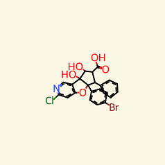 O=C(O)C1C(O)C2(O)c3cnc(Cl)cc3OC2(c2ccc(Br)cc2)C1c1ccccc1